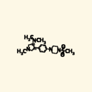 CN1C[C@H](c2ccc(N3CCN(S(C)(=O)=O)CC3)cc2)[C@@H](N(C)C)C1